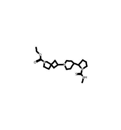 CCOC(=O)N1CCC2(CC(N3CCC(C4CCCN4C(=S)NC)CC3)C2)C1